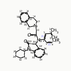 C=C(C)/C=C(\C=C/C)N(C(=O)CN1CCc2ccccc2C1)C1C(=O)N(C2CCCCC2)c2ccccc21